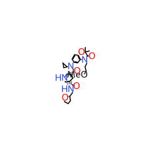 COCCCN1C(=O)C(C)(C)Oc2ccc(N(C(=O)[C@H]3CNC[C@@H](C(=O)NCC4CCCO4)C3)C3CC3)cc21